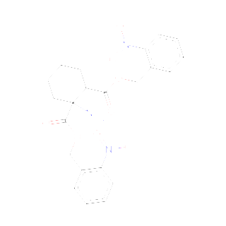 NC1(C(=O)OCc2ccccc2[N+](=O)[O-])CCCCC1C(=O)OCc1ccccc1[N+](=O)[O-]